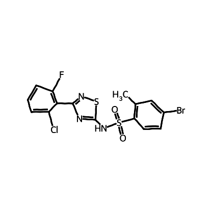 Cc1cc(Br)ccc1S(=O)(=O)Nc1nc(-c2c(F)cccc2Cl)ns1